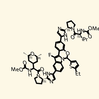 CCc1ccc(C2Oc3cc(-c4cnc([C@@H]5CCCN5C(=O)[C@@H](NC(=O)OC)C(C)C)[nH]4)ccc3-c3c(F)c4cc(-c5cnc([C@@H]6CCCN6C(=O)C(NC(=O)OC)C6C[C@@H](C)O[C@@H](C)C6)[nH]5)ccc4n32)s1